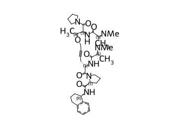 CN[C@@H](C)C(=O)N[C@@H](CC#CCO[C@H](C)[C@H](NC(=O)[C@H](C)NC)C(=O)N1CCCC1)C(=O)N1CCC[C@H]1C(=O)N[C@@H]1CCCc2ccccc21